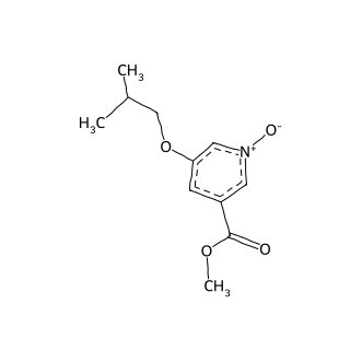 COC(=O)c1cc(OCC(C)C)c[n+]([O-])c1